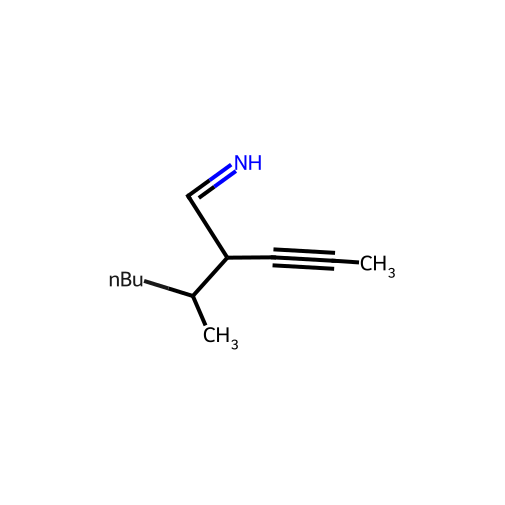 CC#CC(C=N)C(C)CCCC